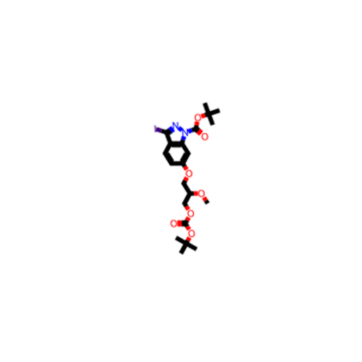 COC(COC(=O)OC(C)(C)C)COc1ccc2c(I)nn(C(=O)OC(C)(C)C)c2c1